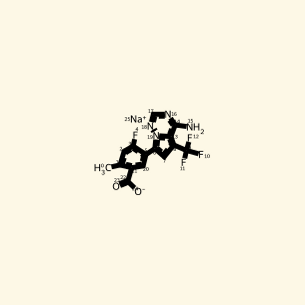 Cc1cc(F)c(-c2cc(C(F)(F)F)c3c(N)ncnn23)cc1C(=O)[O-].[Na+]